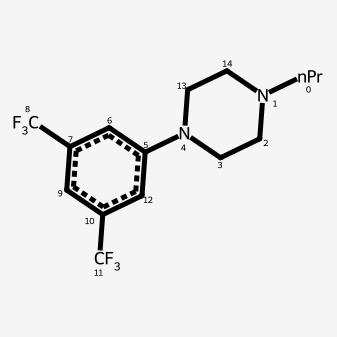 [CH2]CCN1CCN(c2cc(C(F)(F)F)cc(C(F)(F)F)c2)CC1